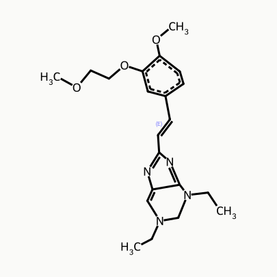 CCN1C=C2N=C(/C=C/c3ccc(OC)c(OCCOC)c3)N=C2N(CC)C1